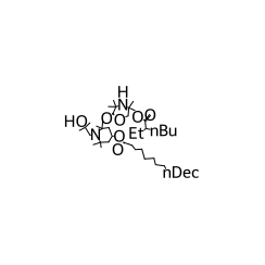 CCCCC(CC)C(=O)OCC1(C)COC(=O)C(C)(C)N1.CCCCCCCCCCCCCCCCCC(=O)OC1CC(C)(C)N(CC(C)(C)O)C(C)(C)C1